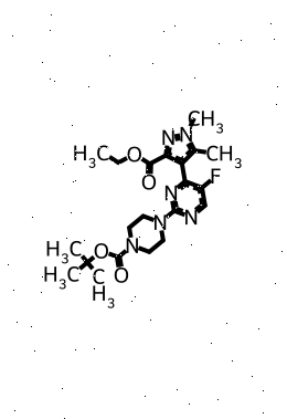 CCOC(=O)c1nn(C)c(C)c1-c1nc(N2CCN(C(=O)OC(C)(C)C)CC2)ncc1F